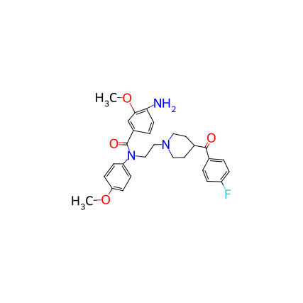 COc1ccc(N(CCN2CCC(C(=O)c3ccc(F)cc3)CC2)C(=O)c2ccc(N)c(OC)c2)cc1